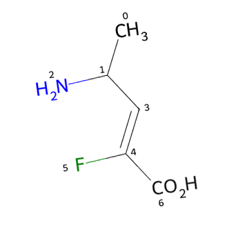 CC(N)C=C(F)C(=O)O